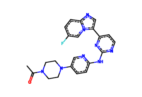 CC(=O)N1CCN(c2ccc(Nc3nccc(-c4cnc5ccc(F)cn45)n3)nc2)CC1